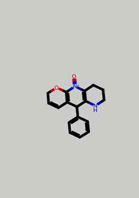 O=[N+]1C2=C(NCCC2)C(c2ccccc2)C2=C1OCC=C2